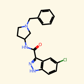 O=C(NC1CCN(Cc2ccccc2)C1)c1n[nH]c2ccc(Cl)cc12